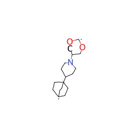 [CH]1OCC(N2CCC(C34CC[C](CC3)CC4)CC2)CO1